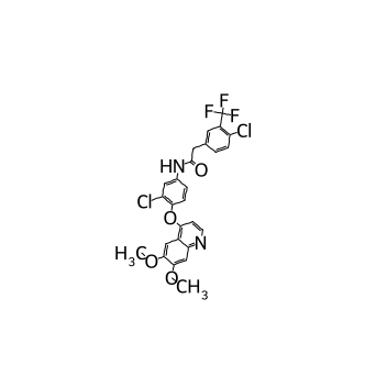 COc1cc2nccc(Oc3ccc(NC(=O)Cc4ccc(Cl)c(C(F)(F)F)c4)cc3Cl)c2cc1OC